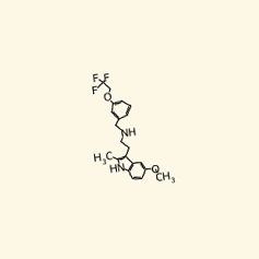 COc1ccc2[nH]c(C)c(CCNCc3cccc(OCC(F)(F)F)c3)c2c1